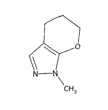 Cn1ncc2c1OCCC2